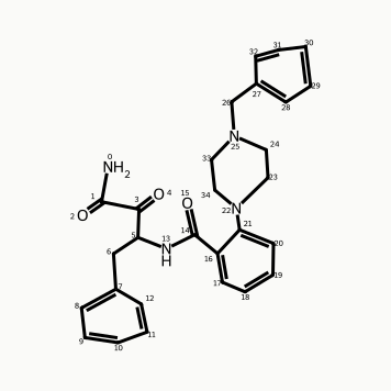 NC(=O)C(=O)C(Cc1ccccc1)NC(=O)c1ccccc1N1CCN(Cc2ccccc2)CC1